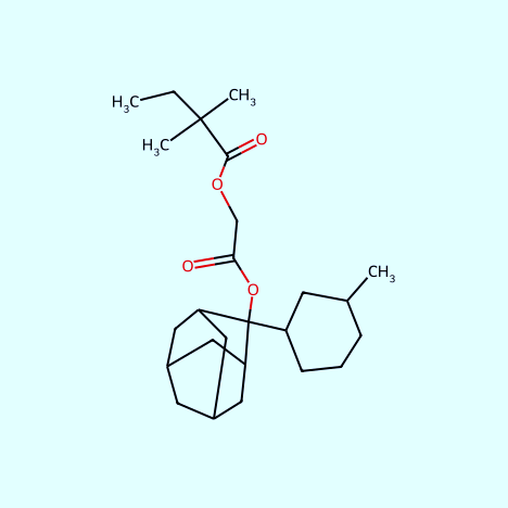 CCC(C)(C)C(=O)OCC(=O)OC1(C2CCCC(C)C2)C2CC3CC(C2)CC1C3